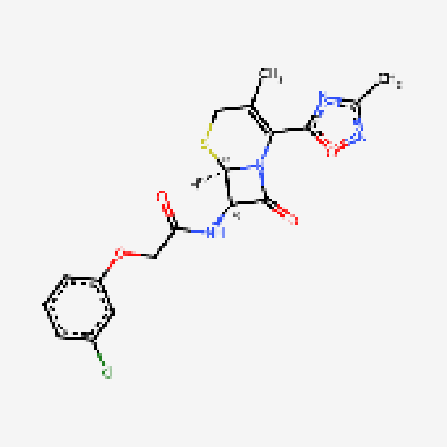 CC1=C(c2nc(C)no2)N2C(=O)[C@@H](NC(=O)COc3cccc(Cl)c3)[C@H]2SC1